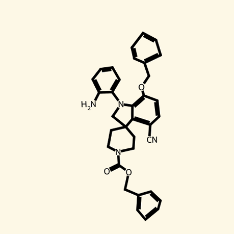 N#Cc1ccc(OCc2ccccc2)c2c1C1(CCN(C(=O)OCc3ccccc3)CC1)CN2c1ccccc1N